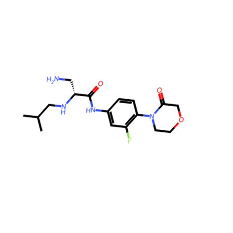 CC(C)CN[C@H](CN)C(=O)Nc1ccc(N2CCOCC2=O)c(F)c1